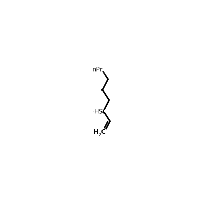 C=C[SiH]CCCCCC